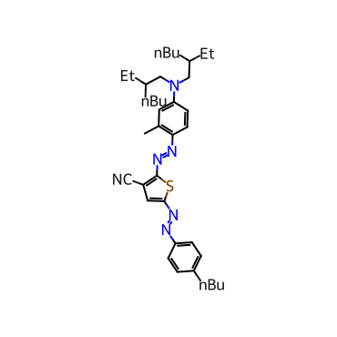 CCCCc1ccc(N=Nc2cc(C#N)c(/N=N/c3ccc(N(CC(CC)CCCC)CC(CC)CCCC)cc3C)s2)cc1